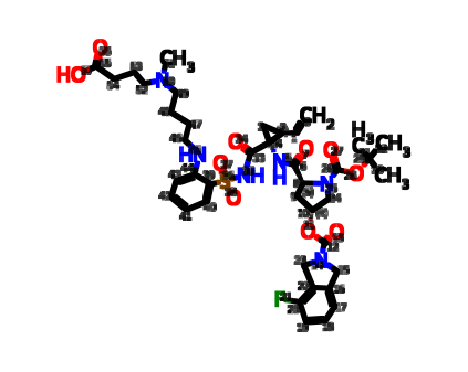 C=C[C@@H]1C[C@]1(NC(=O)[C@@H]1C[C@@H](OC(=O)N2Cc3cccc(F)c3C2)CN1C(=O)OC(C)(C)C)C(=O)NS(=O)(=O)c1ccccc1NCCCCN(C)CCCC(=O)O